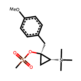 COc1ccc(C[C@@]2(OS(C)(=O)=O)C[C@H]2[Si](C)(C)C)cc1